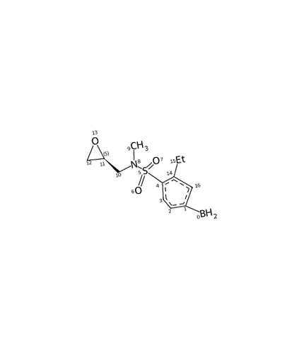 Bc1ccc(S(=O)(=O)N(C)C[C@H]2CO2)c(CC)c1